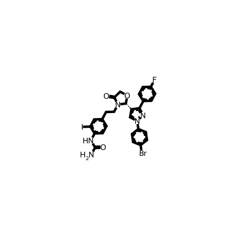 NC(=O)Nc1ccc(CCN2C(=O)CO[C@@H]2c2cn(-c3ccc(Br)cc3)nc2-c2ccc(F)cc2)cc1I